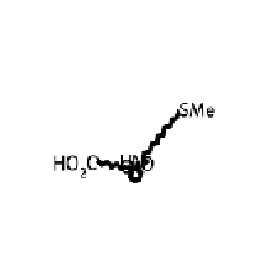 CSCCCCCCCCCCCC(=O)Nc1ccccc1OCCCCCCC(=O)O